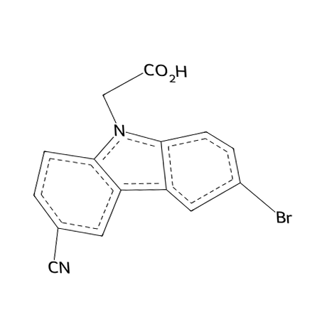 N#Cc1ccc2c(c1)c1cc(Br)ccc1n2CC(=O)O